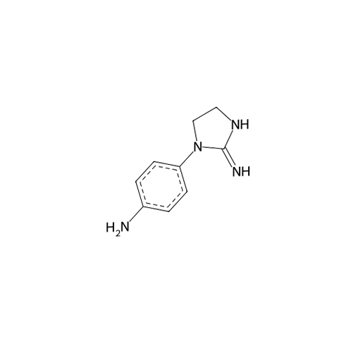 N=C1NCCN1c1ccc(N)cc1